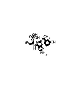 CC(C)CC(COP(=O)(O)O)Nc1nc(SC(C)c2cccc(C#N)c2)nc2nc(N)sc12